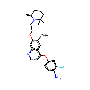 C=C1CCCC(C)(C)N1CCOc1cc2nccc(Oc3ccc(N)c(F)c3)c2cc1OC